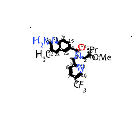 CO[C@H](CN(Cc1ccc(C(F)(F)F)cn1)C(=O)c1ccc2nc(N)c(C)cc2c1)C(C)C